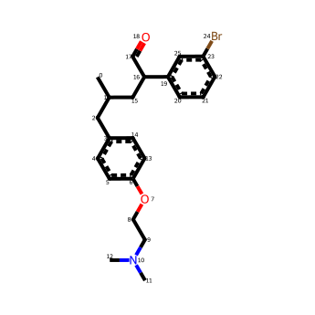 CC(Cc1ccc(OCCN(C)C)cc1)CC(C=O)c1cccc(Br)c1